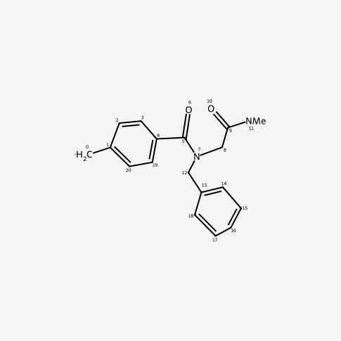 [CH2]c1ccc(C(=O)N(CC(=O)NC)Cc2ccccc2)cc1